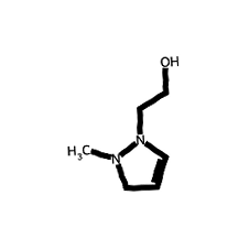 CN1CC=CN1CCO